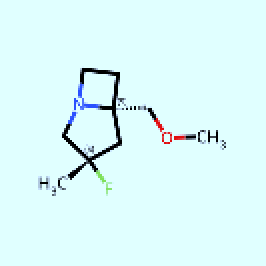 COC[C@@]12CCN1C[C@@](C)(F)C2